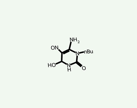 CCCCN1C(=O)NC(O)C(N=O)=C1N